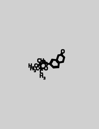 CC1(C)OB(c2ccc3c(c2)CC(=O)CC3)OC1(C)C